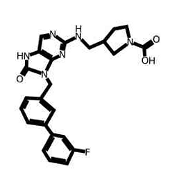 O=C(O)N1CCC(CNc2ncc3[nH]c(=O)n(Cc4cccc(-c5cccc(F)c5)c4)c3n2)C1